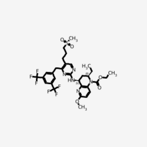 CCOC(=O)N1c2ccc(OC)nc2[C@@H](Nc2ncc(CCCS(C)(=O)=O)c(Cc3cc(C(F)(F)F)cc(C(F)(F)F)c3)n2)C[C@H]1CC